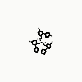 Fc1ccc(-c2cc(F)ccc2CNN(Cc2ccc(F)cc2-c2ccccc2)[AsH]Cc2cc(F)ccc2-c2ccccc2)cc1